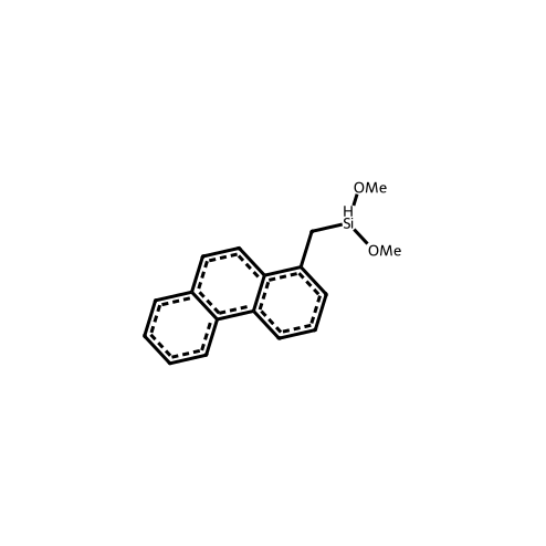 CO[SiH](Cc1cccc2c1ccc1ccccc12)OC